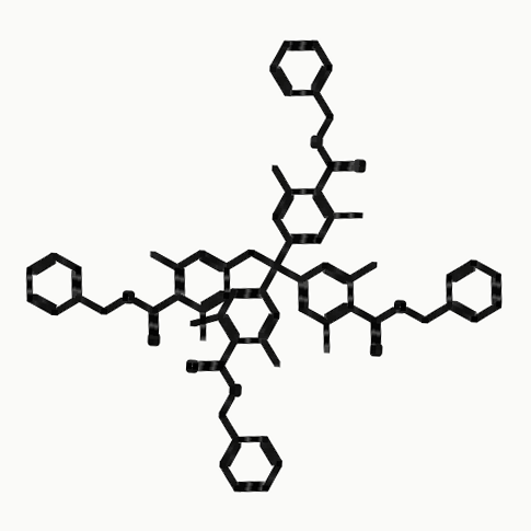 Cc1cc(CC(c2cc(C)c(C(=O)OCc3ccccc3)c(C)c2)(c2cc(C)c(C(=O)OCc3ccccc3)c(C)c2)c2cc(C)c(C(=O)OCc3ccccc3)c(C)c2)cc(C)c1C(=O)OCc1ccccc1